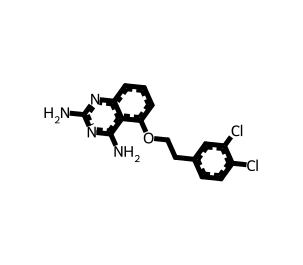 Nc1nc(N)c2c(OCCc3ccc(Cl)c(Cl)c3)cccc2n1